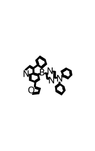 c1ccc(N(c2ccccc2)c2cnc(B3c4ccccc4-c4ccnc5cc(-c6ccco6)cc3c45)cn2)cc1